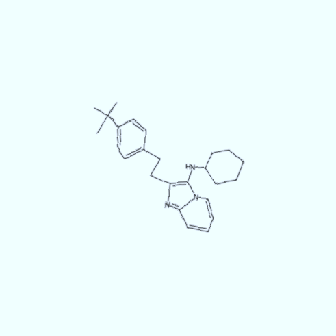 CC(C)(C)c1ccc(CCc2nc3ccccn3c2NC2CCCCC2)cc1